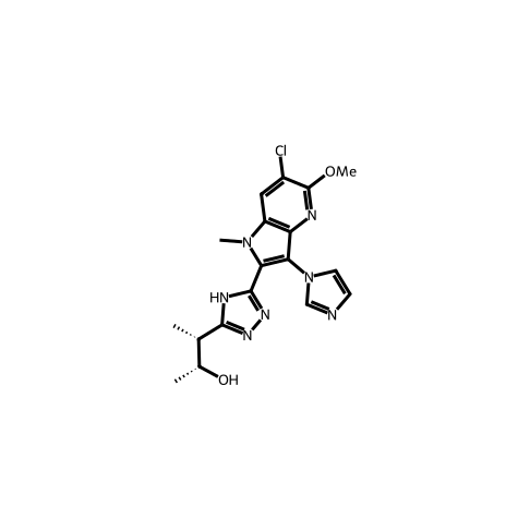 COc1nc2c(-n3ccnc3)c(-c3nnc([C@@H](C)[C@@H](C)O)[nH]3)n(C)c2cc1Cl